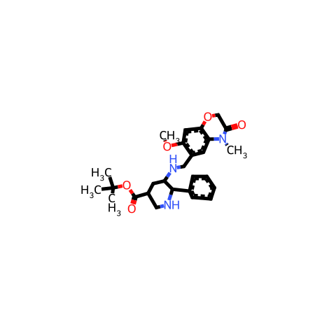 COc1cc2c(cc1CNC1CC(C(=O)OC(C)(C)C)CNC1c1ccccc1)N(C)C(=O)CO2